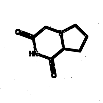 O=C1CN2CCCC2C(=O)N1